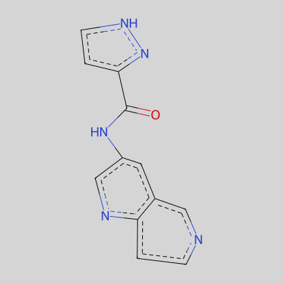 O=C(Nc1cnc2ccncc2c1)c1cc[nH]n1